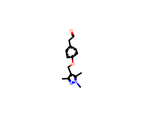 Cc1nn(C)c(C)c1COc1ccc(C[C]=O)cc1